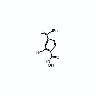 CCC(C)C(=O)c1ccc(C(=O)NO)c(O)c1